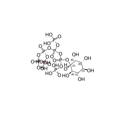 O=P(O)(O)OP(=O)(O[C@]1(O)[C@H](O)[C@H](O)[C@@H](O)[C@H](O)[C@H]1O)OP(=O)(OP(=O)(O)O)OP(=O)(OP(=O)(O)O)OP(=O)(O)O